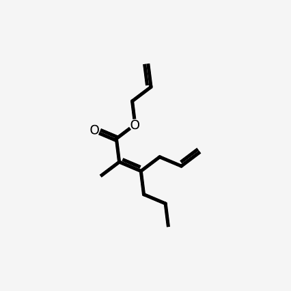 C=CCOC(=O)C(C)=C(CC=C)CCC